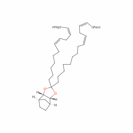 CCCCC/C=C\C/C=C\CCCCCCCCC1(CCCCCC/C=C\C/C=C\CCCCCCC)O[C@@H]2[C@H]3CC[C@H](C3)[C@@H]2O1